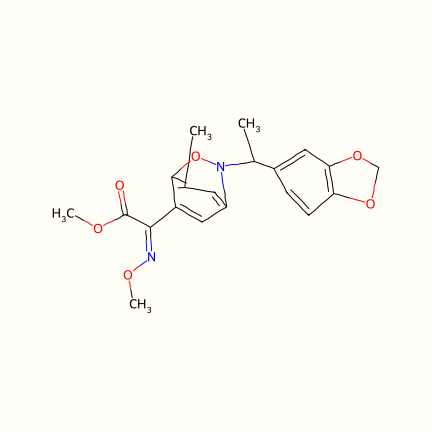 CON=C(C(=O)OC)c1cc2cc(C)c1ON2C(C)c1ccc2c(c1)OCO2